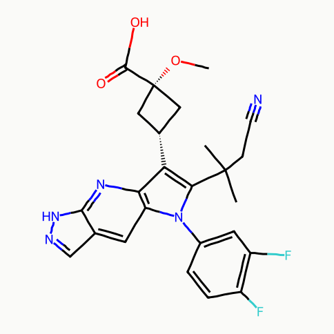 CO[C@]1(C(=O)O)C[C@H](c2c(C(C)(C)CC#N)n(-c3ccc(F)c(F)c3)c3cc4cn[nH]c4nc32)C1